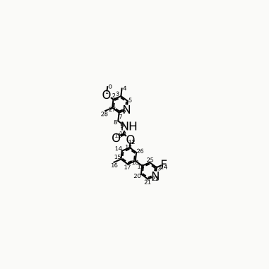 COc1c(C)cnc(CNC(=O)Oc2cc(C)cc(-c3ccnc(F)c3)c2)c1C